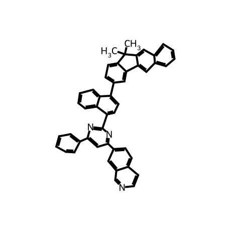 CC1(C)c2ccc(-c3ccc(-c4nc(-c5ccccc5)cc(-c5ccc6ccncc6c5)n4)c4ccccc34)cc2-c2cc3ccccc3cc21